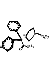 CCCCN1CC[C@@H](C(C(N)=O)(c2ccccc2)c2ccccc2)C1